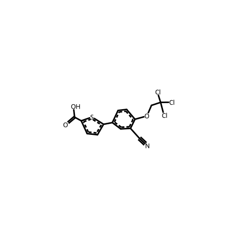 N#Cc1cc(-c2ccc(C(=O)O)s2)ccc1OCC(Cl)(Cl)Cl